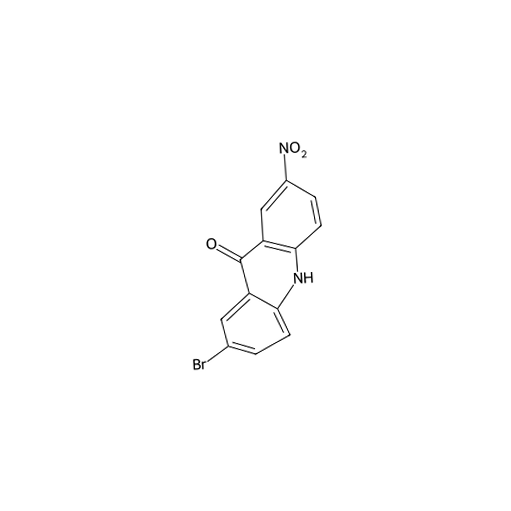 O=c1c2cc(Br)ccc2[nH]c2ccc([N+](=O)[O-])cc12